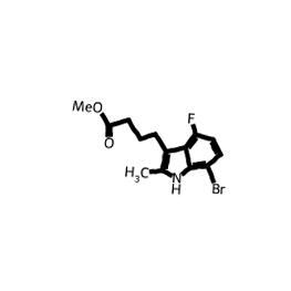 COC(=O)CCCc1c(C)[nH]c2c(Br)ccc(F)c12